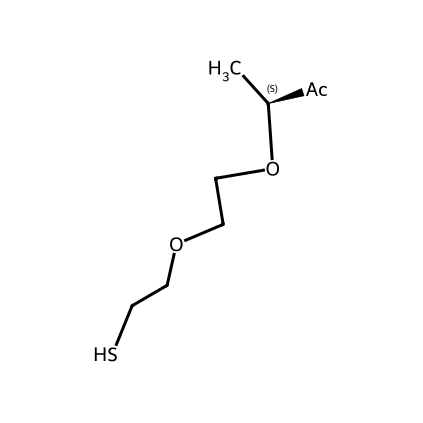 CC(=O)[C@H](C)OCCOCCS